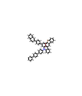 c1ccc(-c2ccc(-c3ccc(N(c4cccc(-c5ccc(-c6ccc7ccccc7c6)cc5)c4)c4ccccc4-c4ccc5sc6ccccc6c5c4)cc3)cc2)cc1